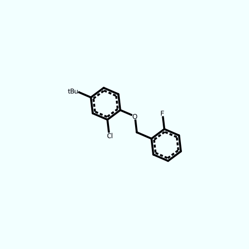 CC(C)(C)c1ccc(OCc2ccccc2F)c(Cl)c1